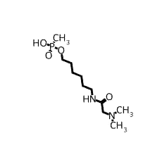 CN(C)CC(=O)NCCCCCCOP(C)(=O)O